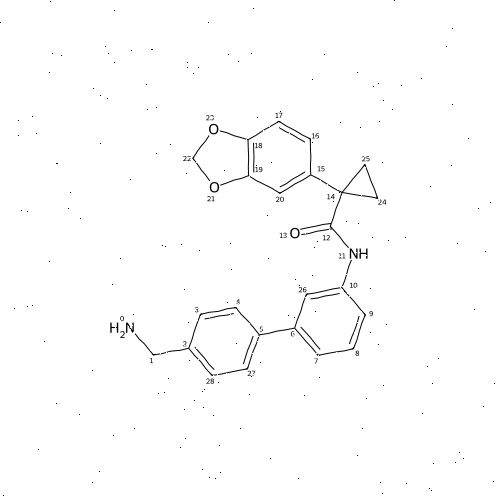 NCc1ccc(-c2cccc(NC(=O)C3(c4ccc5c(c4)OCO5)CC3)c2)cc1